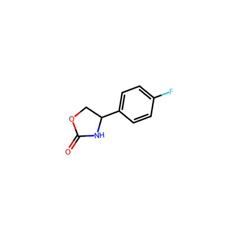 O=C1NC(c2ccc(F)cc2)CO1